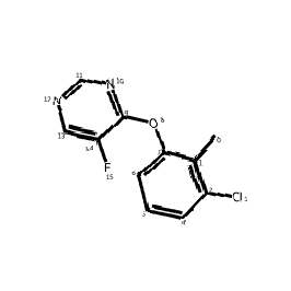 Cc1c(Cl)cccc1Oc1ncncc1F